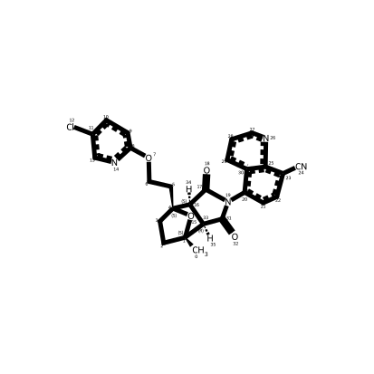 C[C@@]12CC[C@@](CCOc3ccc(Cl)cn3)(O1)[C@H]1C(=O)N(c3ccc(C#N)c4ncccc34)C(=O)[C@H]12